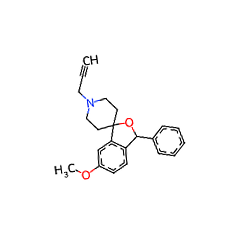 C#CCN1CCC2(CC1)OC(c1ccccc1)c1ccc(OC)cc12